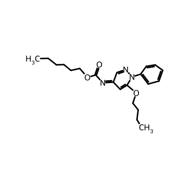 CCCCCCOC(=O)N=c1cnn(-c2ccccc2)c(OCCCC)c1